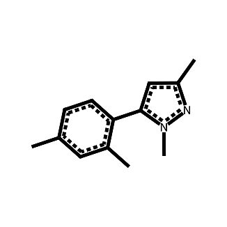 Cc1ccc(-c2cc(C)nn2C)c(C)c1